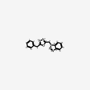 c1ccc(Cc2nnc(Cn3nnc4ccccc43)o2)cc1